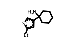 CCc1cc(C2(N)CCCCC2)cs1